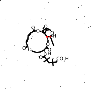 CC1=C[C@H]2OC3CC4OC(=O)/C=C\C=C\C(=O)OCCCC(NC(=O)C(C)(C)CC(C)(C)CC(=O)O)C(=O)OC[C@@]2(CC1)C4(C)[C@]31CO1